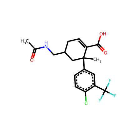 CC(=O)NCC1CC=C(C(=O)O)C(C)(c2ccc(Cl)c(C(F)(F)F)c2)C1